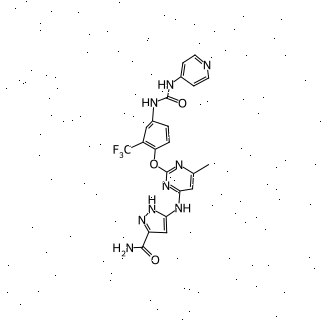 Cc1cc(Nc2cc(C(N)=O)n[nH]2)nc(Oc2ccc(NC(=O)Nc3ccncc3)cc2C(F)(F)F)n1